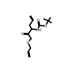 C=CCOCC(=O)C(CC=C)NC(=O)OC(C)(C)C